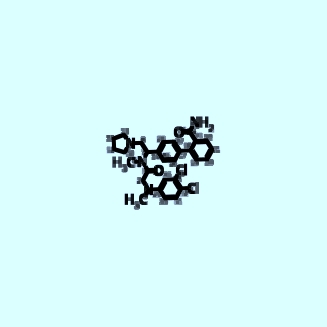 CN(CC(=O)N(C)C(CN1CCCC1)c1ccc(-c2ccccc2C(N)=O)cc1)c1ccc(Cl)c(Cl)c1